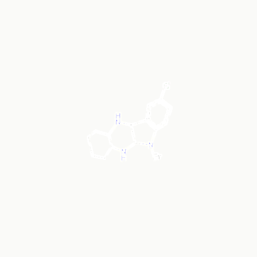 CC(C)N1c2ccc(Cl)cc2C2NC3CCCCC3NC21